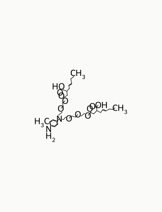 CCC/C=C/CC(CC(=O)OCCOCCOCCN(CCOCCOC(=O)CC(C/C=C/CCC)C(=O)O)c1ccc(N)c(C)c1)C(=O)O